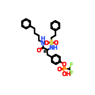 O=C(NCCCCc1ccccc1)[C@H](Cc1ccc(OP(=O)(O)C(F)F)cc1)NS(=O)(=O)CCc1ccccc1